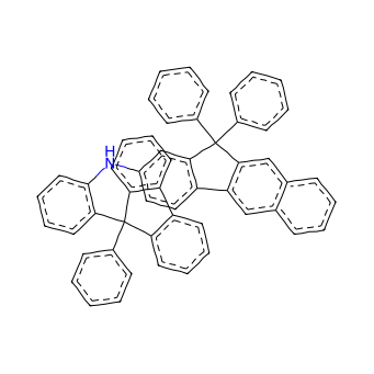 c1ccc(C2(c3ccccc3)c3cc(Nc4ccccc4C4(c5ccccc5)c5ccccc5-c5ccccc54)ccc3-c3cc4ccccc4cc32)cc1